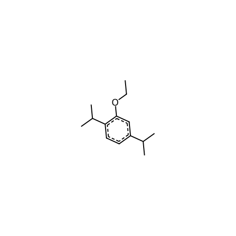 CCOc1cc(C(C)C)ccc1C(C)C